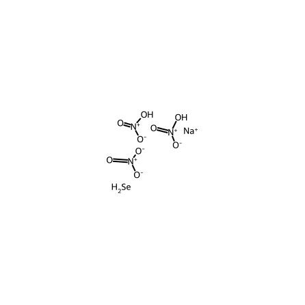 O=[N+]([O-])O.O=[N+]([O-])O.O=[N+]([O-])[O-].[Na+].[SeH2]